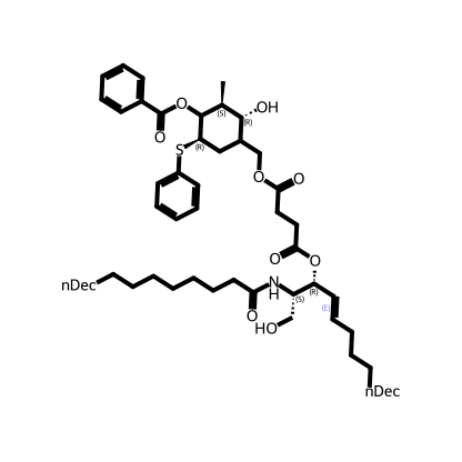 CCCCCCCCCCCCC/C=C/[C@@H](OC(=O)CCC(=O)OCC1C[C@@H](Sc2ccccc2)C(OC(=O)c2ccccc2)[C@@H](C)[C@@H]1O)[C@H](CO)NC(=O)CCCCCCCCCCCCCCCCC